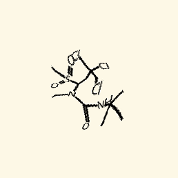 CN(C(=O)NC(C)(C)C)C(C(Cl)(Cl)Cl)S(C)(=O)=O